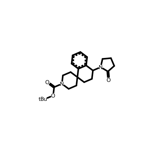 CC(C)(C)OC(=O)N1CCC2(CCC(N3CCCC3=O)c3ccccc32)CC1